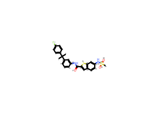 CC(C)(c1ccc(F)cc1)c1cccc(NC(=O)c2cc3ccc(NS(C)(=O)=O)cc3s2)c1